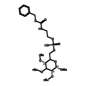 CCCCOC1[C@H](OCCCC)C(COP(=O)(O)OCCNC(=O)OCc2ccccc2)O[C@H](OC)[C@@H]1OCCCC